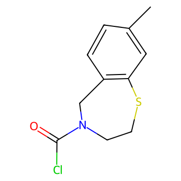 Cc1ccc2c(c1)SCCN(C(=O)Cl)C2